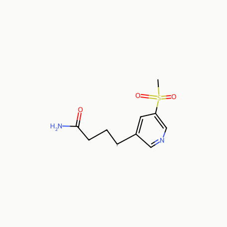 CS(=O)(=O)c1cncc([CH]CCC(N)=O)c1